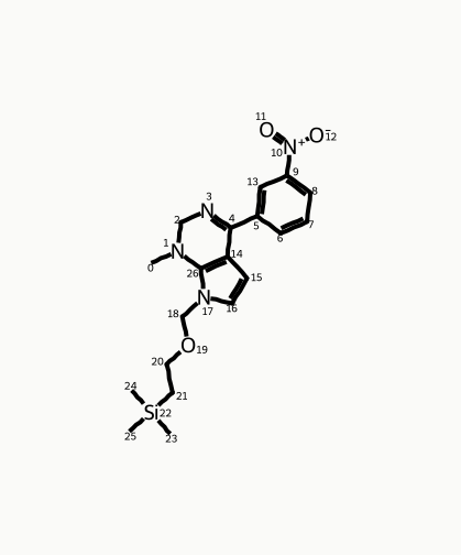 CN1CN=C(c2cccc([N+](=O)[O-])c2)c2ccn(COCC[Si](C)(C)C)c21